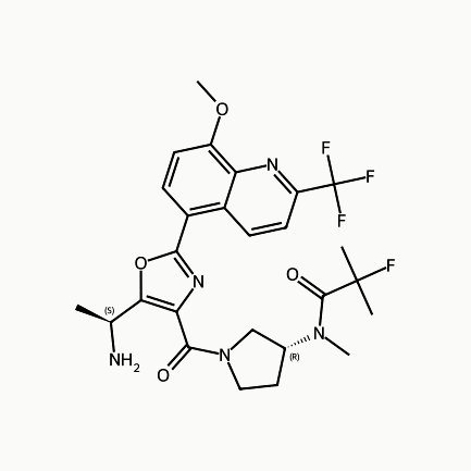 COc1ccc(-c2nc(C(=O)N3CC[C@@H](N(C)C(=O)C(C)(C)F)C3)c([C@H](C)N)o2)c2ccc(C(F)(F)F)nc12